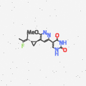 COc1nnc(-c2c[nH]c(=O)[nH]c2=O)cc1[C@H]1C[C@@H]1/C(C)=C(/C)F